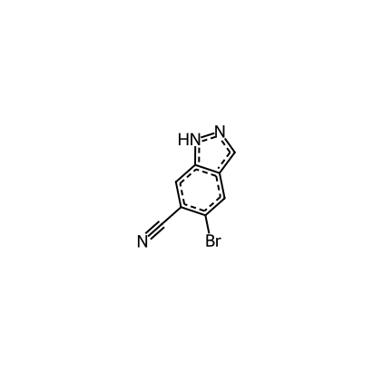 N#Cc1cc2[nH]ncc2cc1Br